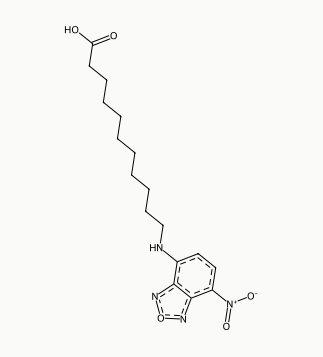 O=C(O)CCCCCCCCCCNc1ccc([N+](=O)[O-])c2nonc12